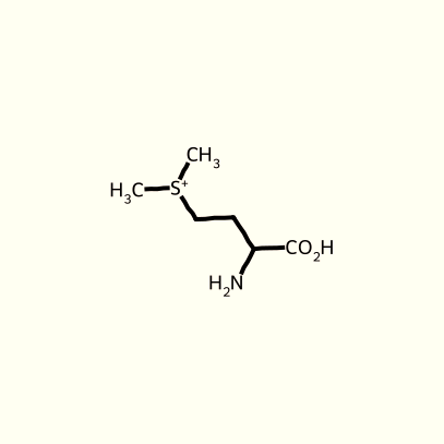 C[S+](C)CCC(N)C(=O)O